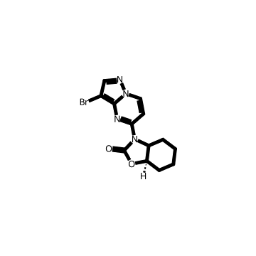 O=C1O[C@@H]2CCCCC2N1c1ccn2ncc(Br)c2n1